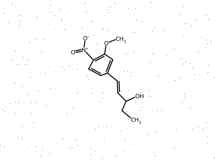 CCC(O)C=Cc1ccc([N+](=O)[O-])c(OC)c1